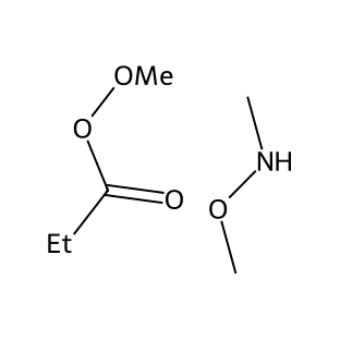 CCC(=O)OOC.CNOC